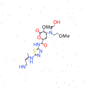 COCCN(CCO)c1cc(C(=O)Nc2nnc(N/C(C)=C\C=N)s2)oc(=O)c1OC